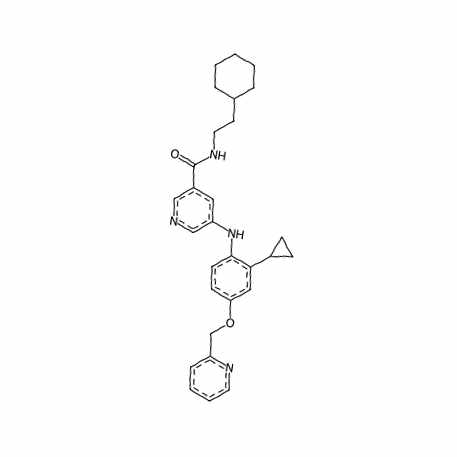 O=C(NCCC1CCCCC1)c1cncc(Nc2ccc(OCc3ccccn3)cc2C2CC2)c1